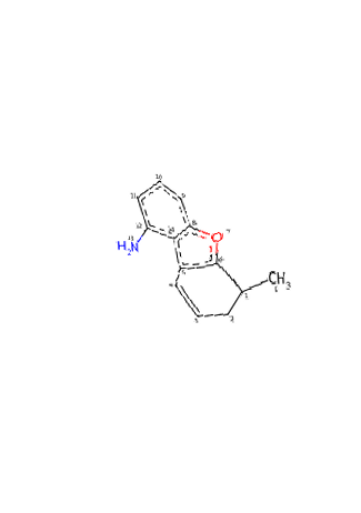 CC1CC=Cc2c1oc1cccc(N)c21